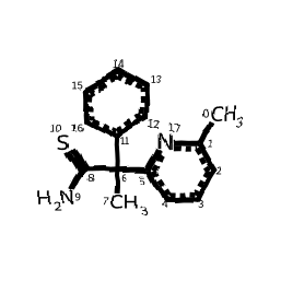 Cc1cccc(C(C)(C(N)=S)c2ccccc2)n1